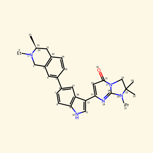 CCN1Cc2cc(-c3ccc4[nH]cc(-c5cc(=O)n6c(n5)N(C(C)C)C(C)(C)C6)c4c3)ccc2C[C@@H]1C